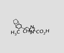 CC(=Cc1cnc(C(=O)O)cn1)c1cc2c(cc1C)C1CCC2C1